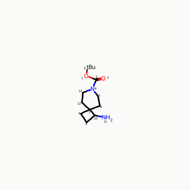 CC(C)(C)OC(=O)N1CCC2(CCC2N)CC1